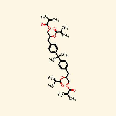 C=C(C)C(=O)OCC(Cc1ccc(C(C)(C)c2ccc(CC(COC(=O)C(=C)C)OC(=O)C(=C)C)cc2)cc1)OC(=O)C(=C)C